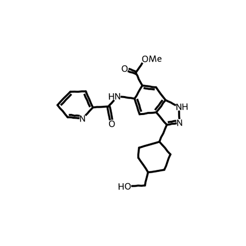 COC(=O)c1cc2[nH]nc(C3CCC(CO)CC3)c2cc1NC(=O)c1ccccn1